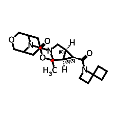 CCOC(=O)N1C2COCC1CC(N1C[C@@H]3[C@H](C1)[C@@H]3C(=O)N1CCC13CCC3)C2